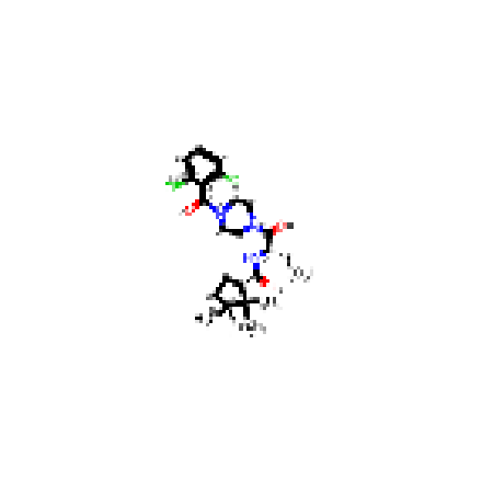 CC1(C)[C@@H](C(=O)N[C@@H](CC(=O)O)C(=O)N2CCN(C(=O)c3c(Cl)cccc3Cl)CC2)CC[C@]1(C)C(=O)O